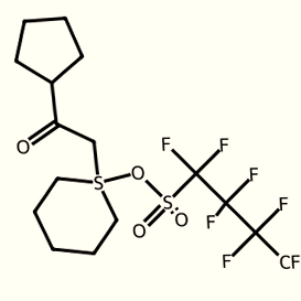 O=C(CS1(OS(=O)(=O)C(F)(F)C(F)(F)C(F)(F)C(F)(F)F)CCCCC1)C1CCCC1